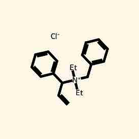 C=CC(c1ccccc1)[N+](CC)(CC)Cc1ccccc1.[Cl-]